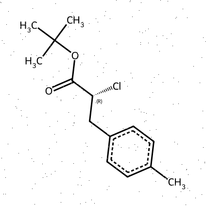 Cc1ccc(C[C@@H](Cl)C(=O)OC(C)(C)C)cc1